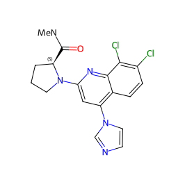 CNC(=O)[C@@H]1CCCN1c1cc(-n2ccnc2)c2ccc(Cl)c(Cl)c2n1